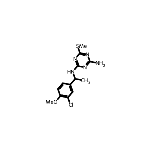 COc1ccc(C(C)Nc2nc(N)nc(SC)n2)cc1Cl